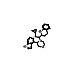 O=C(C1CC1)C(C1CCc2ccccc2N1)N1CCNCC1c1cccc2[nH]ccc12